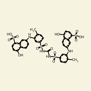 Cc1ccc(S(=O)(=O)NC(=O)NS(=O)(=O)c2ccc(C)c(Nc3ccc4c(O)ccc(S(=O)(=O)O)c4c3)c2)cc1Nc1ccc2c(O)ccc(S(=O)(=O)O)c2c1